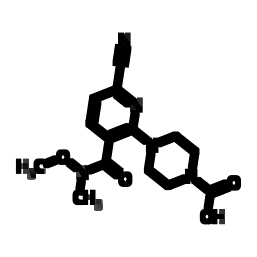 CON(C)C(=O)c1ccc(C#N)nc1N1CCN(C(=O)O)CC1